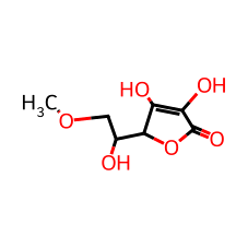 COCC(O)C1OC(=O)C(O)=C1O